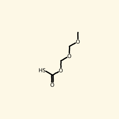 COCOCOC(=O)S